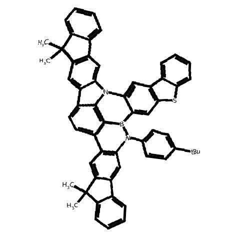 CC(C)(C)c1ccc(N2B3c4cc5sc6ccccc6c5cc4-n4c5cc6c(cc5c5ccc(c3c54)-c3cc4c(cc32)-c2ccccc2C4(C)C)C(C)(C)c2ccccc2-6)cc1